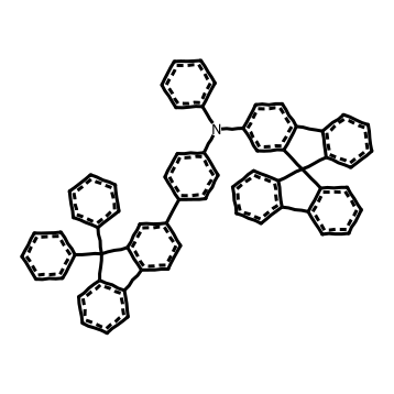 c1ccc(N(c2ccc(-c3ccc4c(c3)C(c3ccccc3)(c3ccccc3)c3ccccc3-4)cc2)c2ccc3c(c2)C2(c4ccccc4-c4ccccc42)c2ccccc2-3)cc1